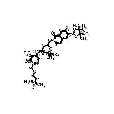 CC(CC(Cn1ccc2cc(B3OC(C)(C)C(C)(C)O3)c(F)cc2c1=O)O[Si](C)(C)C(C)(C)C)Nc1cnn(COCC[Si](C)(C)C)c(=O)c1C(F)(F)F